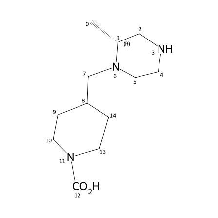 C[C@@H]1CNCCN1CC1CCN(C(=O)O)CC1